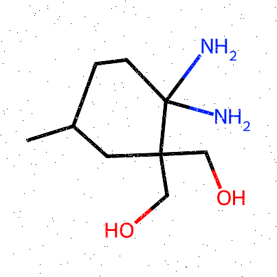 CC1CCC(N)(N)C(CO)(CO)C1